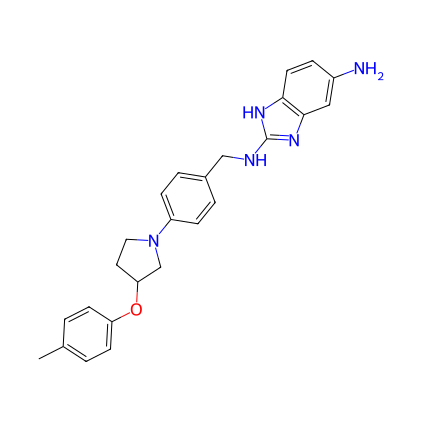 Cc1ccc(OC2CCN(c3ccc(CNc4nc5cc(N)ccc5[nH]4)cc3)C2)cc1